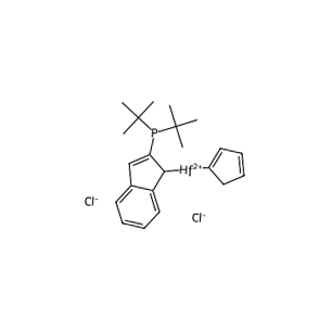 CC(C)(C)P(C1=Cc2ccccc2[CH]1[Hf+2][C]1=CC=CC1)C(C)(C)C.[Cl-].[Cl-]